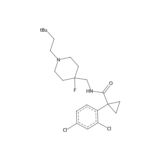 CC(C)(C)CCN1CCC(F)(CNC(=O)C2(c3ccc(Cl)cc3Cl)CC2)CC1